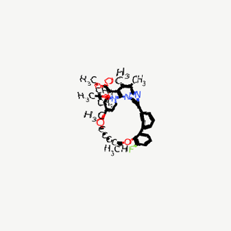 COC(=O)[C@@H](OC(C)(C)C)c1c(C)c(C)c2nc3cn2c1N1CCC(C)(CC1)OCCCC[C@H](C)Oc1c(F)cccc1-c1cccc-3c1